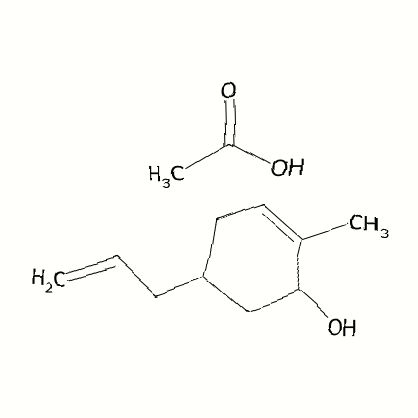 C=CCC1CC=C(C)C(O)C1.CC(=O)O